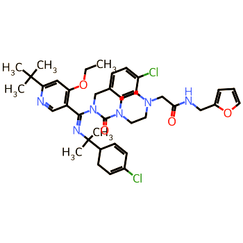 CCOc1cc(C(C)(C)C)ncc1/C(=N/C(C)(C)C1C=CC(Cl)=CC1)N(Cc1ccc(Cl)cc1)C(=O)N1CCN(CC(=O)NCc2ccco2)CC1